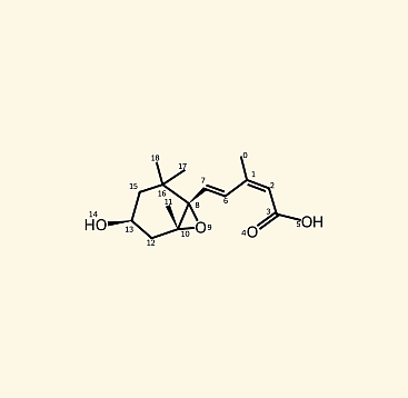 CC(=C/C(=O)O)/C=C/[C@@]12O[C@]1(C)C[C@@H](O)CC2(C)C